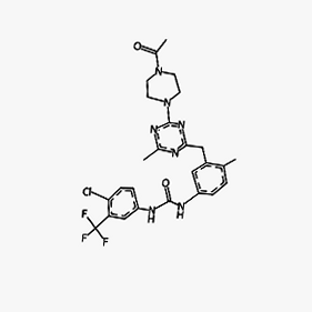 CC(=O)N1CCN(c2nc(C)nc(Cc3cc(NC(=O)Nc4ccc(Cl)c(C(F)(F)F)c4)ccc3C)n2)CC1